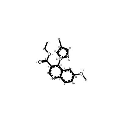 CCOC(=O)c1cnc2ccc(OC)cc2c1-n1cc(C)cn1